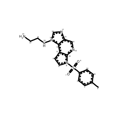 Cc1ccc(S(=O)(=O)n2ccc3c4c(cnc32)ncn4NCCN)cc1